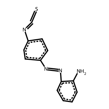 Nc1ccccc1N=Nc1ccc(N=C=S)cc1